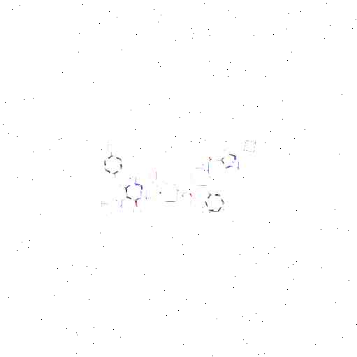 Cc1nc(C2CCC2)sc1C(=O)N1CC[C@@H](C(=O)N2CCC(O)(Cn3cnc(Oc4ccc(F)cc4)c(N)c3=O)CC2)[C@H](c2ccccc2)C1